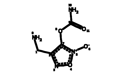 NCc1no[n+]([O-])c1OC(N)=O